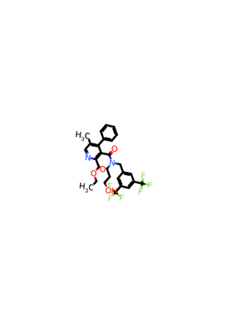 CCOC(=O)c1ncc(C)c(-c2ccccc2)c1C(=O)N(CCCO)Cc1cc(C(F)(F)F)cc(C(F)(F)F)c1